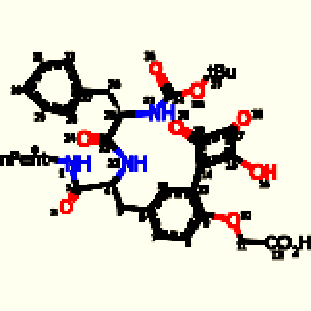 CCCCCNC(=O)[C@H](Cc1ccc(OCC(=O)O)c(-c2c(O)c(=O)c2=O)c1)NC(=O)[C@H](Cc1ccccc1)NC(=O)OC(C)(C)C